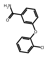 NC(=O)c1cccc(Oc2ccccc2Cl)c1